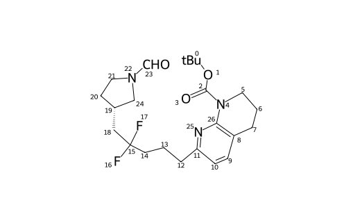 CC(C)(C)OC(=O)N1CCCc2ccc(CCCC(F)(F)C[C@@H]3CCN(C=O)C3)nc21